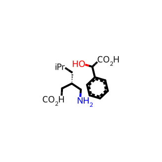 CC(C)C[C@H](CN)CC(=O)O.O=C(O)C(O)c1ccccc1